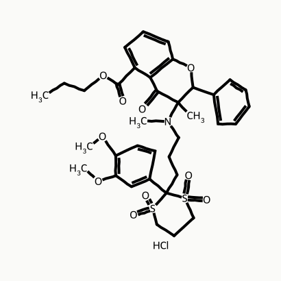 CCCOC(=O)c1cccc2c1C(=O)C(C)(N(C)CCCC1(c3ccc(OC)c(OC)c3)S(=O)(=O)CCCS1(=O)=O)C(c1ccccc1)O2.Cl